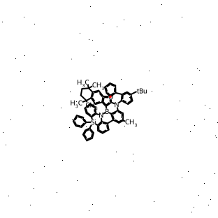 Cc1cc2c3c(c1)N(c1ccc(C(C)(C)C)cc1-c1ccccc1)c1oc4cc5c(cc4c1B3N1c3ccccc3[Si](c3ccccc3)(c3ccccc3)c3cccc-2c31)C(C)(C)CCC5(C)C